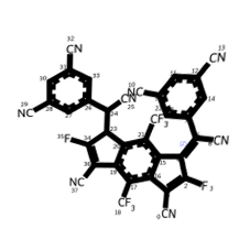 N#CC1=C(F)/C(=C(\C#N)c2cc(C#N)cc(C#N)c2)c2c1c(C(F)(F)F)c1c(c2C(F)(F)F)C(C(C#N)c2cc(C#N)cc(C#N)c2)C(F)=C1C#N